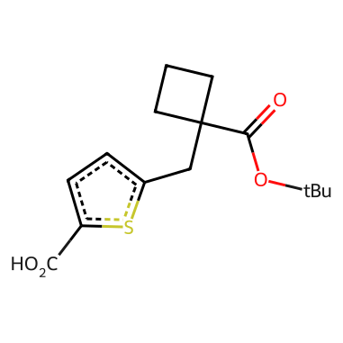 CC(C)(C)OC(=O)C1(Cc2ccc(C(=O)O)s2)CCC1